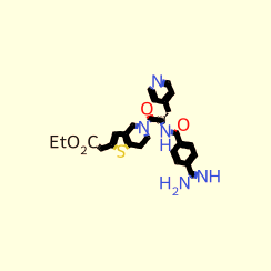 CCOC(=O)Cc1cc2c(s1)CCN(C(=O)[C@H](Cc1ccncc1)NC(=O)c1ccc(C(=N)N)cc1)C2